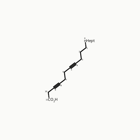 CCCCCCCCCCC#CCCC#CCC(=O)O